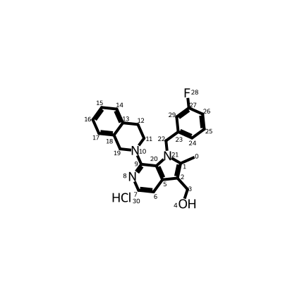 Cc1c(CO)c2ccnc(N3CCc4ccccc4C3)c2n1Cc1cccc(F)c1.Cl